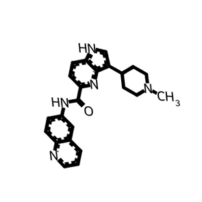 CN1CCC(c2c[nH]c3ccc(C(=O)Nc4ccc5ncccc5c4)nc23)CC1